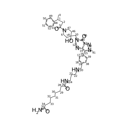 CC(CC(=O)N1CCC(O)(Cn2cnc3c(-c4ccc(CNCCCNC(=O)CCCCCCCC(N)=O)cc4)n(C)nc3c2=O)CC1)c1ccccc1